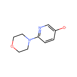 [O]c1ccc(N2CCOCC2)nc1